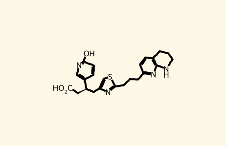 O=C(O)C[C@H](Cc1csc(CCCc2ccc3c(n2)NCCC3)n1)c1ccc(O)nc1